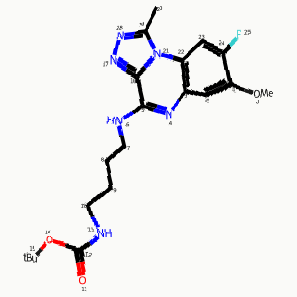 COc1cc2nc(NCCCCNC(=O)OC(C)(C)C)c3nnc(C)n3c2cc1F